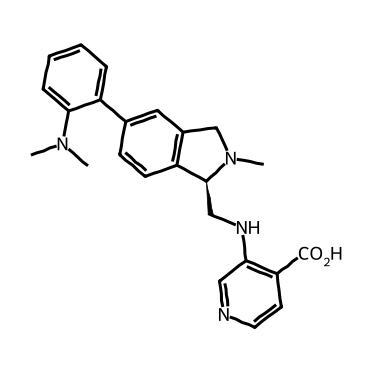 CN(C)c1ccccc1-c1ccc2c(c1)CN(C)[C@H]2CNc1cnccc1C(=O)O